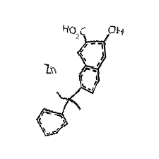 CC(C)(c1ccccc1)c1ccc2cc(O)c(C(=O)O)cc2c1.[Zn]